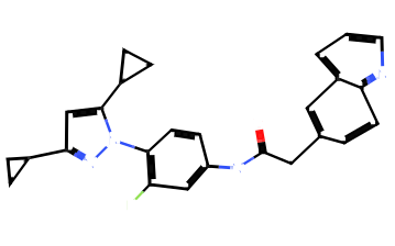 O=C(Cc1ccc2ncccc2c1)Nc1ccc(-n2nc(C3CC3)cc2C2CC2)c(F)c1